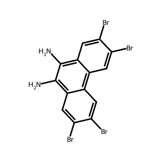 Nc1c(N)c2cc(Br)c(Br)cc2c2cc(Br)c(Br)cc12